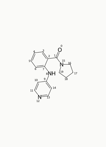 O=C(c1ccccc1Nc1ccncc1)N1CCCC1